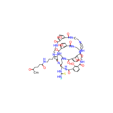 O=[C]([Cm])CCCC(=O)NCCCCC1CN2CCNC(=O)c3cccc(c3O)C(=O)NCCN(CCNC(=O)c3cccc(c3O)C(=O)N1)CCN1CCNC(=O)c3cccc(c3O)C(=O)NCCN(CC2)CC(CCCCNC(=S)NF)NC(=O)c2cccc(c2O)C(=O)NCC1